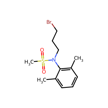 Cc1cccc(C)c1N(CCCBr)S(C)(=O)=O